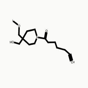 C#CCCCCC(=O)N1CCC(CO)(COI)CC1